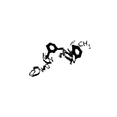 Cc1ccc2nnn(Cc3cccc(-c4ncc(OCCN5CCOCC5)cn4)c3)c2c1F